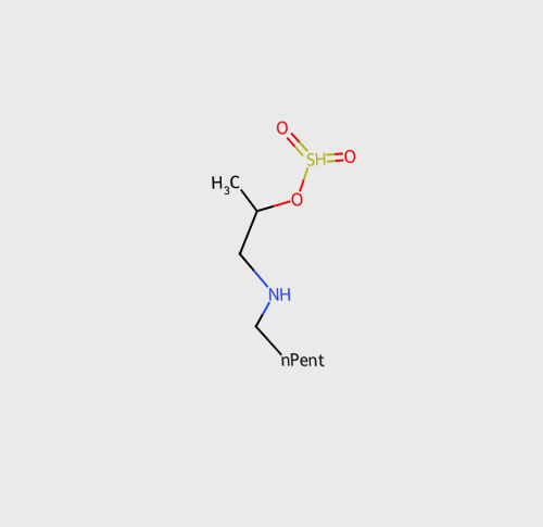 CCCCCCNCC(C)O[SH](=O)=O